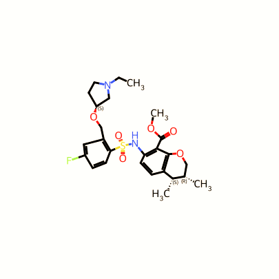 CCN1CC[C@H](OCc2cc(F)ccc2S(=O)(=O)Nc2ccc3c(c2C(=O)OC)OC[C@H](C)[C@@H]3C)C1